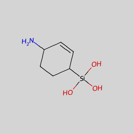 NC1C=CC([Si](O)(O)O)CC1